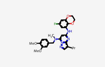 COc1ccc(CN(C)c2cc(Nc3cc(F)cc4c3OCCO4)nc3c(C(C)C)cnn23)cc1OC